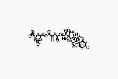 C[C@]12C=CC(=O)C=C1CC[C@H]1[C@@H]3C[C@@H](O)[C@](O)(C(=O)COC(=O)CNC(=O)OCC(CO[N+](=O)[O-])O[N+](=O)[O-])[C@@]3(C)C[C@H](O)[C@@]12F